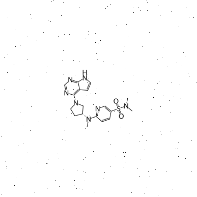 CN(c1ccc(S(=O)(=O)N(C)C)cn1)[C@@H]1CCN(c2ncnc3[nH]ccc23)C1